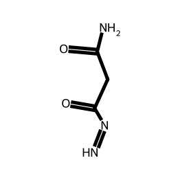 N=NC(=O)CC(N)=O